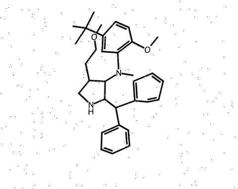 COCCC1CNC(C(c2ccccc2)c2ccccc2)C1N(C)c1cc(C(C)(C)C)ccc1OC